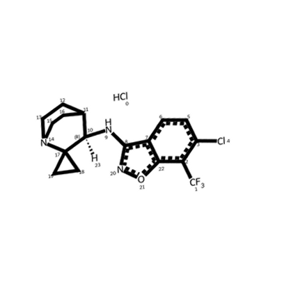 Cl.FC(F)(F)c1c(Cl)ccc2c(N[C@@H]3C4CCN(CC4)C34CC4)noc12